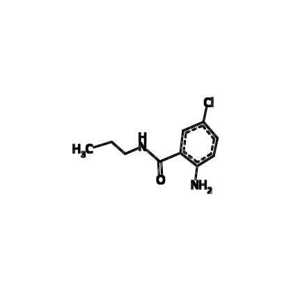 CCCNC(=O)c1cc(Cl)ccc1N